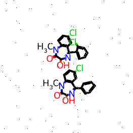 CN1C(=O)C(O)N=C(c2ccccc2)c2cc(Cl)ccc21.CN1C(=O)C(O)N=C(c2ccccc2Cl)c2cc(Cl)ccc21